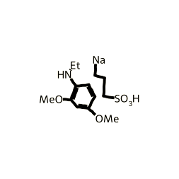 CCNc1ccc(OC)cc1OC.O=S(=O)(O)CC[CH2][Na]